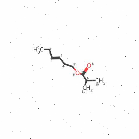 CCC=CCCOC(=O)C(C)C